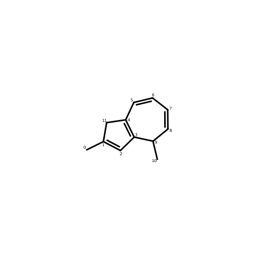 CC1=CC2=C(C=CC=CC2C)C1